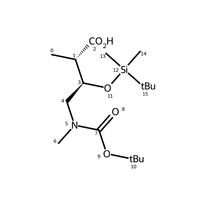 C[C@H](C(=O)O)[C@H](CN(C)C(=O)OC(C)(C)C)O[Si](C)(C)C(C)(C)C